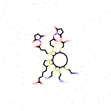 NCCSC1CCCCC(SCC(=O)O)C2C(C3C(C4C1[SH](CCN)[SH]4CCN)[SH]1C(CCCCC(=O)O)CC[SH]31)[SH](CCCC(=O)ON1C(=O)CCC1=O)[SH]2CCCC(=O)ON1C(=O)CCC1=O